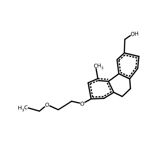 CCOCCOc1cc(C)c2c(c1)CCc1ccc(CO)cc1-2